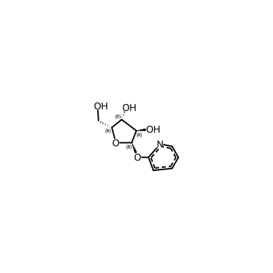 OC[C@H]1O[C@H](Oc2ccccn2)[C@H](O)[C@H]1O